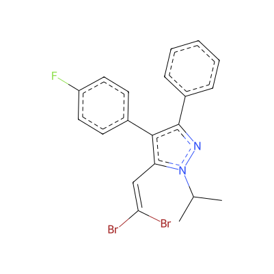 CC(C)n1nc(-c2ccccc2)c(-c2ccc(F)cc2)c1C=C(Br)Br